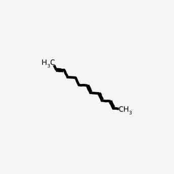 C/C=C/C=C/C=C/CCC/C=C/C